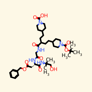 CC(C)(CO)NC(=O)[C@H](CC(=O)OCc1ccccc1)NC(=O)CNC(=O)C(CCC1CCN(C(=O)O)CC1)CCC1CCN(C(=O)OC(C)(C)C)CC1